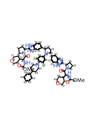 COC(=O)N[C@H](C(=O)N1CCC[C@H]1c1nc2cc([C@H]3CC[C@H](c4ccc5[nH]c([C@@H]6CCCN6C(=O)[C@@H](NC(=O)OC)C6CCOCC6)nc5c4)N3c3cc(F)c(N4CCC(c5ccccc5)CC4)c(F)c3)ccc2[nH]1)C1CCOCC1